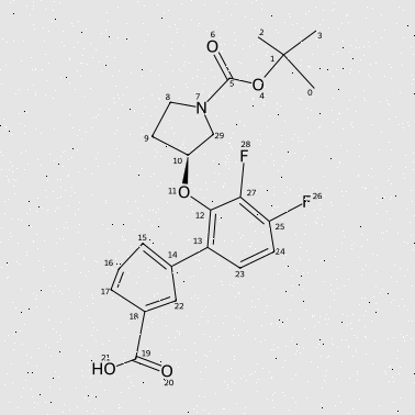 CC(C)(C)OC(=O)N1CC[C@H](Oc2c(-c3cccc(C(=O)O)c3)ccc(F)c2F)C1